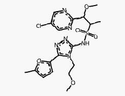 COCCn1c(NS(=O)(=O)C(C)C(OC)c2ncc(Cl)cn2)nnc1-c1ccc(C)o1